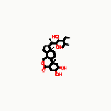 CCC(C(C)C)[C@@H](O)[C@H](O)[C@@H](C)[C@H]1CCC2C3COC(=O)C4C[C@H](O)[C@H](O)C[C@]4(C)C3CC[C@@]21C